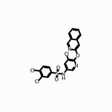 O=S(=O)(Nc1cnc(Oc2cc3ccccc3cn2)c(Cl)c1)c1ccc(Cl)c(Cl)c1